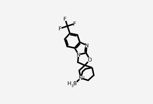 [BH3-][N+]12CCC(CC1)C1(Cn3c(nc4cc(C(F)(F)F)ccc43)O1)C2